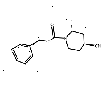 C[C@@H]1C[C@@H](C#N)CCN1C(=O)OCc1ccccc1